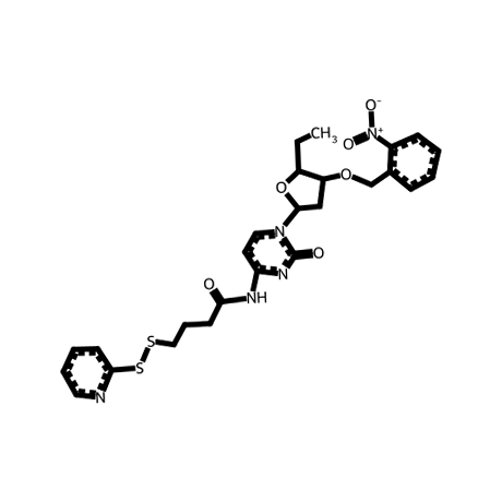 CCC1OC(n2ccc(NC(=O)CCCSSc3ccccn3)nc2=O)CC1OCc1ccccc1[N+](=O)[O-]